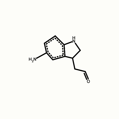 Nc1ccc2c(c1)C(CC=O)CN2